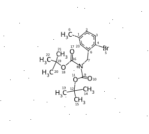 Cc1ccc(Br)c(CN(C(=O)OC(C)(C)C)C(=O)OC(C)(C)C)c1